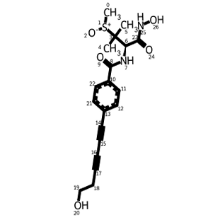 C[S+]([O-])C(C)(C)[C@H](NC(=O)c1ccc(C#CC#CCCO)cc1)C(=O)NO